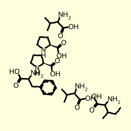 CC(C)C(N)C(=O)O.CC(C)C(N)C(=O)O.CCC(C)C(N)C(=O)O.NC(Cc1ccccc1)C(=O)O.O=C(O)[C@@H]1CCCN1.O=C(O)[C@@H]1CCCN1